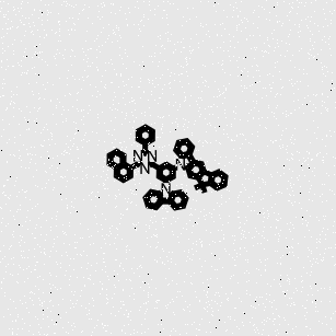 CC1(C)c2ccccc2-c2cc3c4ccccc4n(-c4cc(-c5nc(-c6ccccc6)nc(-c6cccc7ccccc67)n5)cc(-n5c6ccccc6c6ccccc65)c4)c3cc21